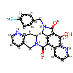 O=C1c2c(c(C(=O)N3CCc4ncccc4C3)c3cccnc3c2O)CN1Cc1ccc(F)cc1